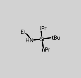 CCC[Si](NCC)(C(C)C)C(C)(C)C